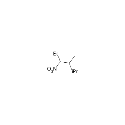 CCC(C(C)C(C)C)[N+](=O)[O-]